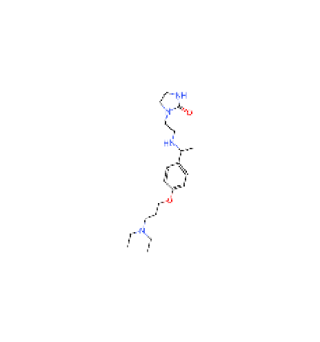 CCN(CC)CCCOc1ccc(C(C)NCCN2CCNC2=O)cc1